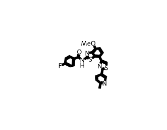 COc1ccc(-c2csc(-c3ccc(C)nc3)n2)c2sc(NC(=O)c3ccc(F)cc3)nc12